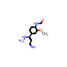 CN/C(=C\C=N)c1ccc(NC=O)c(OC)c1